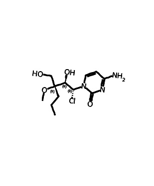 CCC[C@](CO)(OC)[C@@H](O)[C@@H](Cl)n1ccc(N)nc1=O